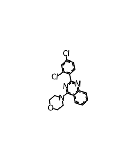 Clc1ccc(-c2nc(N3CCOCC3)c3ccccc3n2)c(Cl)c1